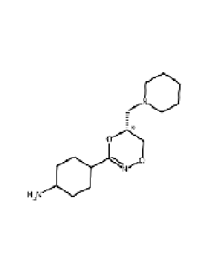 NC1CCC(C2=NOC[C@@H](CN3CCCCC3)O2)CC1